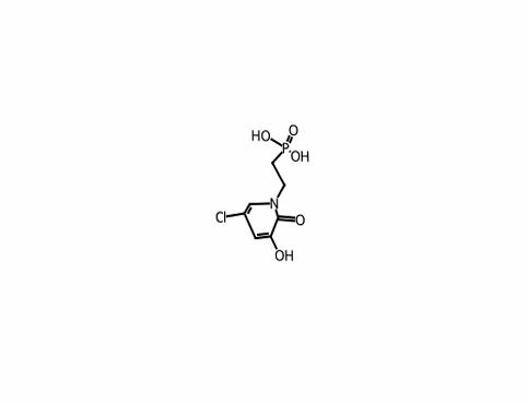 O=c1c(O)cc(Cl)cn1CCP(=O)(O)O